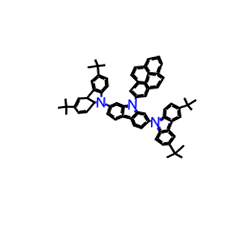 CC(C)(C)C1=CC2c3cc(C(C)(C)C)ccc3N(c3ccc4c5ccc(-n6c7ccc(C(C)(C)C)cc7c7cc(C(C)(C)C)ccc76)cc5n(-c5cc6ccc7cccc8ccc(c5)c6c78)c4c3)C2C=C1